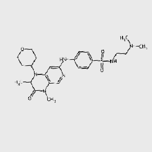 CC1C(=O)N(C)c2cnc(Nc3ccc(S(=O)(=O)NCCN(C)C)cc3)cc2N1C1CCOCC1